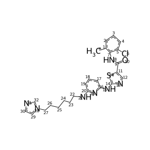 Cc1cccc(Cl)c1NC(=O)c1cnc(Nc2cccc(NCCCCCCn3ccnc3)n2)s1